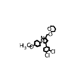 COc1ccc(-n2nc(COC3CCCCO3)cc2-c2ccc(Cl)c(Cl)c2)cc1